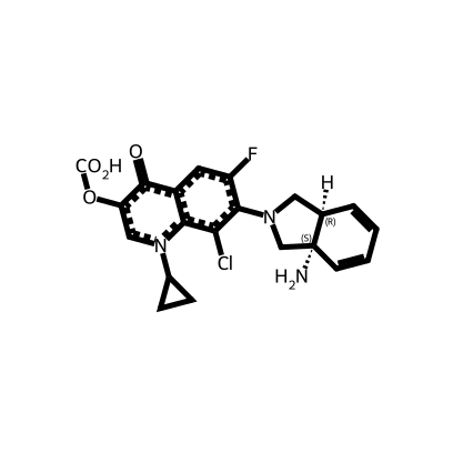 N[C@@]12C=CC=C[C@@H]1CN(c1c(F)cc3c(=O)c(OC(=O)O)cn(C4CC4)c3c1Cl)C2